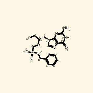 Nc1nc2c(ncn2C[C@@H](CF)OCP(=O)(O)OCc2ccccc2)c(=O)[nH]1